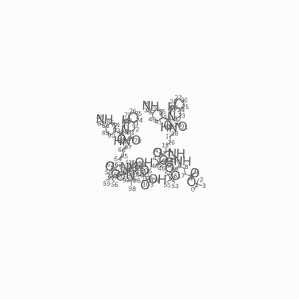 CC(C)(C)OC(=O)CC[C@H](NC(=O)N[C@@H](CCCCNC(=O)[C@H](Cc1ccccc1I)NC(=O)C1CCC(CN)CC1)C(=O)OC(C)(C)C)C(=O)OC(C)(C)C.CC(C)(C)OC(=O)[C@H](CCCCNC(=O)[C@H](Cc1ccccc1I)NC(=O)C1CCC(CN)CC1)NC(=O)N(C(C)(C)C)[C@@](CCC(=O)O)(C(=O)O)C(C)(C)C